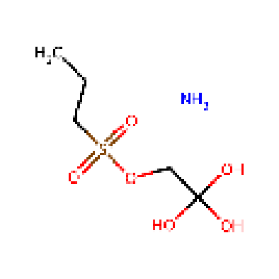 CCCS(=O)(=O)OCC(O)(O)O.N